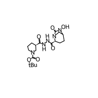 CC(C)(C)OC(=O)N1CCC[C@@H](C(=O)NNC(=O)[C@@H]2CCC3CN2C(=O)N3O)C1